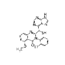 COc1cccc2nc(C(S)c3ncnc4[nH]cnc34)n(-c3ccccc3Cl)c(=O)c12